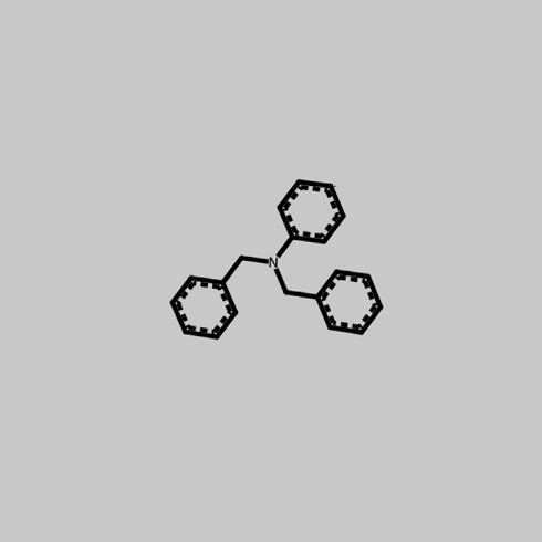 [c]1ccc(N(Cc2ccccc2)Cc2ccccc2)cc1